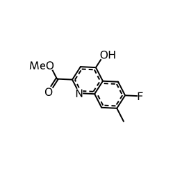 COC(=O)c1cc(O)c2cc(F)c(C)cc2n1